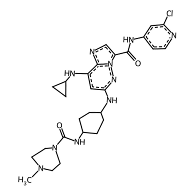 CN1CCN(C(=O)NC2CCC(Nc3cc(NC4CC4)c4ncc(C(=O)Nc5ccnc(Cl)c5)n4n3)CC2)CC1